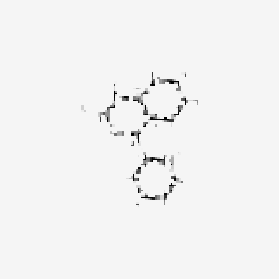 Cc1nc(-c2ccccn2)c2ccccc2n1